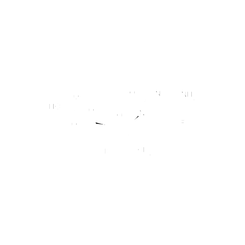 C=C1[C@H](n2cc(F)c(N)nc2=O)O[C@H](COP(=O)(O)O)[C@H]1O